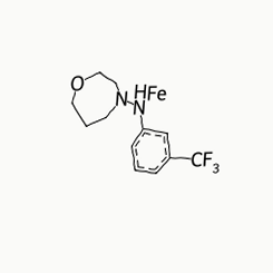 FC(F)(F)c1cccc(NN2CCCOCC2)c1.[Fe]